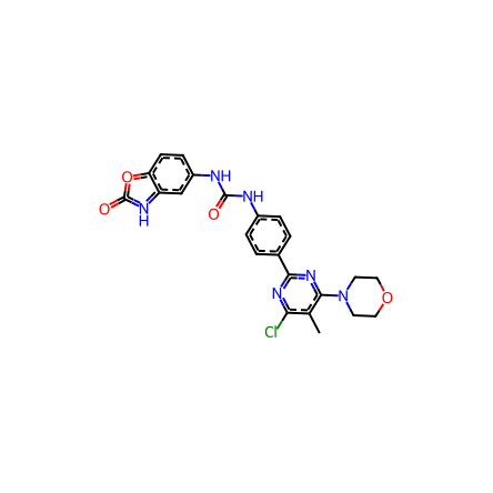 Cc1c(Cl)nc(-c2ccc(NC(=O)Nc3ccc4oc(=O)[nH]c4c3)cc2)nc1N1CCOCC1